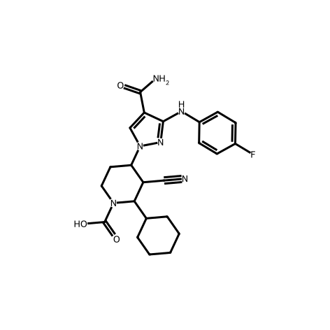 N#CC1C(C2CCCCC2)N(C(=O)O)CCC1n1cc(C(N)=O)c(Nc2ccc(F)cc2)n1